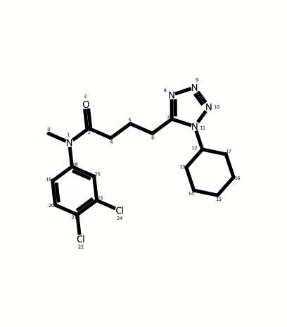 CN(C(=O)CCCc1nnnn1C1CCCCC1)c1ccc(Cl)c(Cl)c1